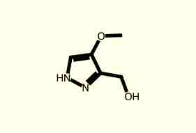 COc1c[nH]nc1CO